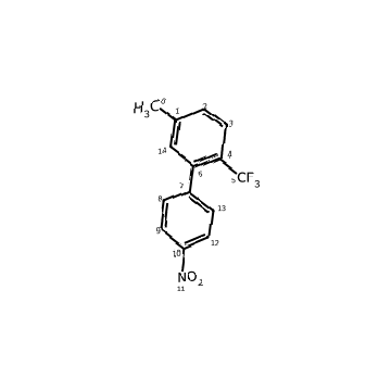 Cc1ccc(C(F)(F)F)c(-c2ccc([N+](=O)[O-])cc2)c1